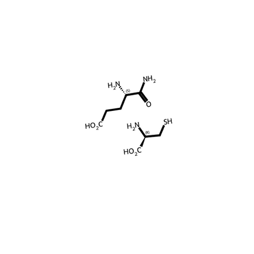 NC(=O)[C@@H](N)CCC(=O)O.N[C@@H](CS)C(=O)O